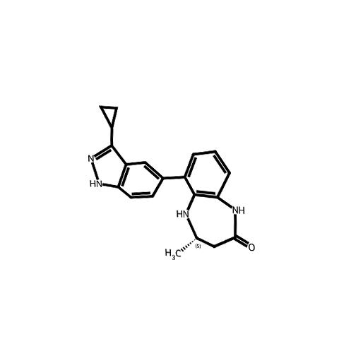 C[C@H]1CC(=O)Nc2cccc(-c3ccc4[nH]nc(C5CC5)c4c3)c2N1